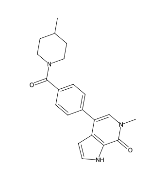 CC1CCN(C(=O)c2ccc(-c3cn(C)c(=O)c4[nH]ccc34)cc2)CC1